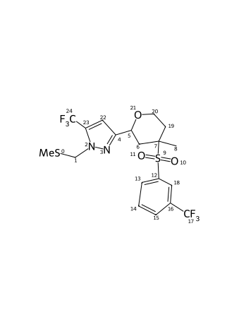 CSCn1nc(C2CC(C)(S(=O)(=O)c3cccc(C(F)(F)F)c3)CCO2)cc1C(F)(F)F